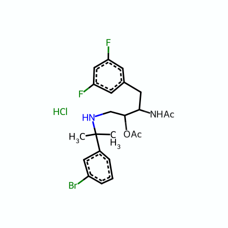 CC(=O)NC(Cc1cc(F)cc(F)c1)C(CNC(C)(C)c1cccc(Br)c1)OC(C)=O.Cl